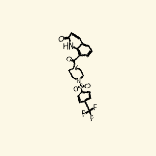 O=C(c1cccc2ccc(=O)[nH]c12)N1CCN(S(=O)(=O)c2ccc(C(F)(F)F)cc2)CC1